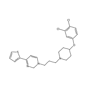 Clc1ccc(OC2CCN(CCCN3C=CC(c4cccs4)=NC3)CC2)cc1Cl